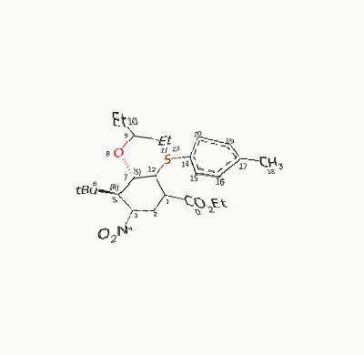 CCOC(=O)C1CC([N+](=O)[O-])[C@@H](C(C)(C)C)[C@H](OC(CC)CC)C1Sc1ccc(C)cc1